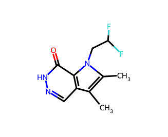 Cc1c(C)n(CC(F)F)c2c(=O)[nH]ncc12